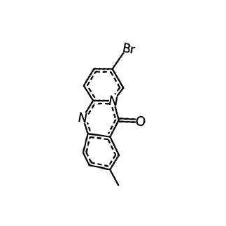 Cc1ccc2nc3ccc(Br)cn3c(=O)c2c1